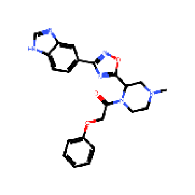 CN1CCN(C(=O)COc2ccccc2)C(c2nc(-c3ccc4[nH]cnc4c3)no2)C1